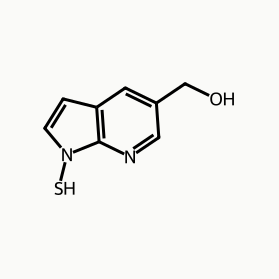 OCc1cnc2c(ccn2S)c1